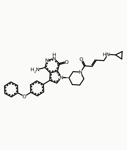 Nc1n[nH]c(=O)c2c1c(-c1ccc(Oc3ccccc3)cc1)cn2[C@@H]1CCCN(C(=O)/C=C/CNC2CC2)C1